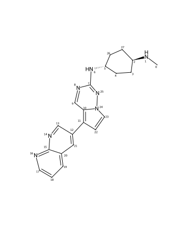 CN[C@H]1CC[C@H](Nc2ncc3c(-c4cnc5ncccc5c4)ccn3n2)CC1